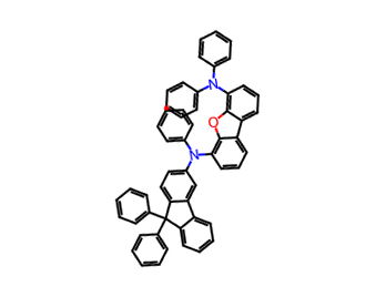 c1ccc(N(c2ccccc2)c2cccc3c2oc2c(N(c4ccccc4)c4ccc5c(c4)-c4ccccc4C5(c4ccccc4)c4ccccc4)cccc23)cc1